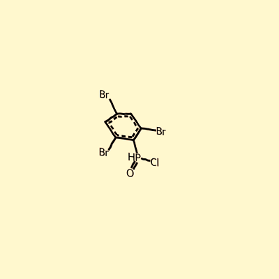 O=[PH](Cl)c1c(Br)cc(Br)cc1Br